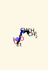 C=CC(C)CCN(C)C/C=C/C(=O)NCC(=O)CC